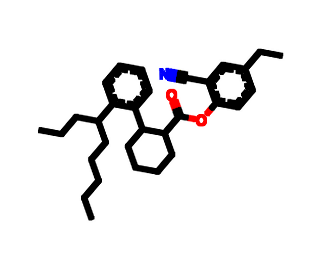 CCCCCC(CCC)c1ccccc1C1CCCCC1C(=O)Oc1ccc(CC)cc1C#N